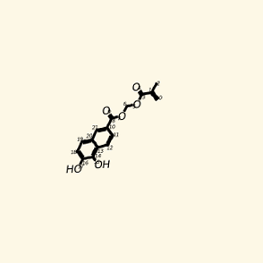 C=C(C)C(=O)OCOC(=O)c1ccc2c(O)c(O)ccc2c1